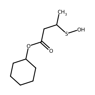 CC(CC(=O)OC1CCCCC1)SO